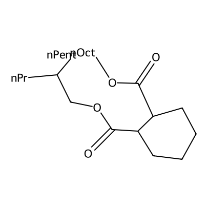 CCCCCCCCOC(=O)C1CCCCC1C(=O)OCC(CCC)CCCCC